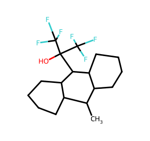 CC1C2CCCCC2C(C(O)(C(F)(F)F)C(F)(F)F)C2CCCCC12